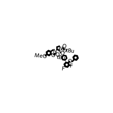 COc1ccc(CN(C(=O)OC(C)(C)C)[C@H]2CCN(C(=O)OC(C)(C)C)[C@H]2CO[C@H]2CC[C@@H](c3cc(F)cc(F)c3OCc3ccccc3)CC2)cc1